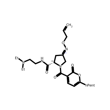 C=CCO/N=C1\C[C@@H](C(=O)NCCN(CC)CC)N(C(=O)c2ccc(CCCCC)oc2=O)C1